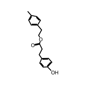 Cc1ccc(CCOC(=O)CCc2ccc(O)cc2)cc1